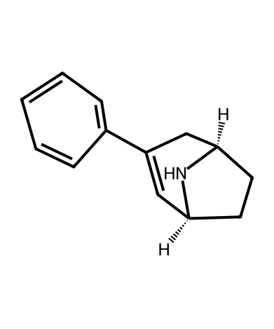 C1=C(c2ccccc2)C[C@H]2CC[C@@H]1N2